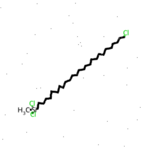 C[Si](Cl)(Cl)CCCCCCCCCCCCCCCCCCCCCCCCCCCCl